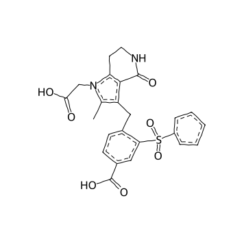 Cc1c(Cc2ccc(C(=O)O)cc2S(=O)(=O)c2ccccc2)c2c(n1CC(=O)O)CCNC2=O